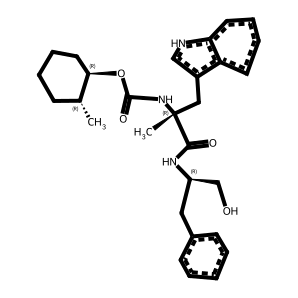 C[C@@H]1CCCC[C@H]1OC(=O)N[C@](C)(Cc1c[nH]c2ccccc12)C(=O)N[C@@H](CO)Cc1ccccc1